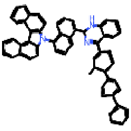 CC1C=C(C2=NC(c3cccc4c(-n5c6ccc7ccccc7c6c6c7ccccc7ccc65)cccc34)Nc3ccccc32)C=CC1c1ccc(-c2ccccc2)cc1